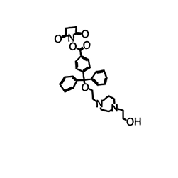 O=C(ON1C(=O)CCC1=O)c1ccc(C(OCCN2CCN(CCO)CC2)(c2ccccc2)c2ccccc2)cc1